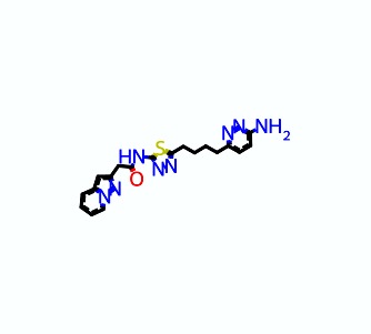 Nc1ccc(CCCCc2nnc(NC(=O)Cc3cc4ccccn4n3)s2)nn1